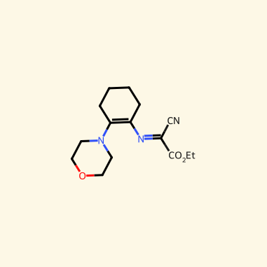 CCOC(=O)C(C#N)=NC1=C(N2CCOCC2)CCCC1